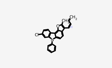 C=C/C=C\c1c(C)oc2c1ccc1c2c2ccc(Cl)cc2n1-c1ccccc1